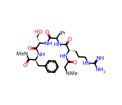 CNCC(=O)N[C@@H](CCCNC(=N)N)C(=O)NC(C(=O)N[C@@H](CO)C(=O)N[C@@H](Cc1ccccc1)C(=O)NC)C(C)C